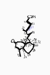 CC1=CC(=O)C[C@@H]2[C@@](C)(CC/C(C)=C/CO)[C@H](C)CC[C@@]12C